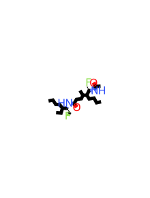 CCCCC(C(C)CCC(=O)N[C@H](CF)C(CC)CCCC)[C@H](CF)NC(C)=O